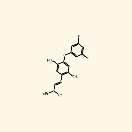 CCCN(/C=N/c1cc(C)c(Oc2cc(F)cc(F)c2)cc1C)CC